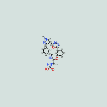 C[C@H](NC(=O)O)C(=O)NCc1cccc(-c2nn(C)cc2-c2nnc(-c3ccccc3)o2)c1